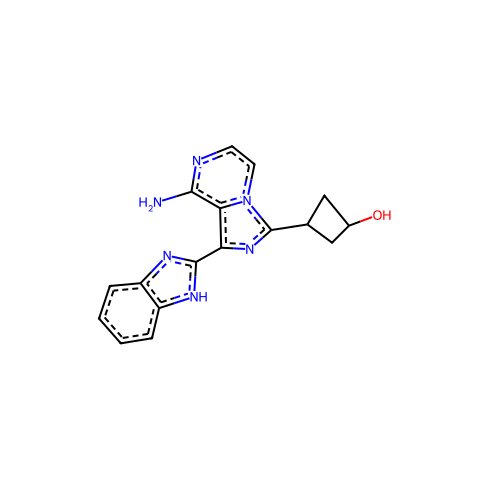 Nc1nccn2c(C3CC(O)C3)nc(-c3nc4ccccc4[nH]3)c12